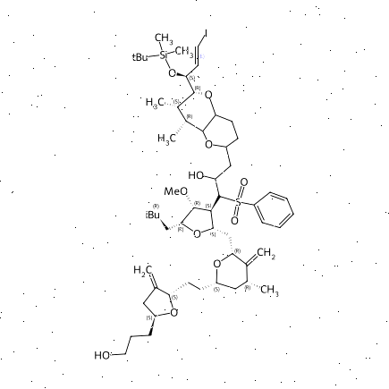 C=C1C[C@H](CCCO)O[C@H]1CC[C@H]1C[C@@H](C)C(=C)[C@@H](C[C@@H]2O[C@H](C[C@H](C)CC)[C@H](OC)[C@H]2C(C(O)CC2CCC3O[C@@H]([C@H](/C=C/I)O[Si](C)(C)C(C)(C)C)[C@@H](C)[C@@H](C)C3O2)S(=O)(=O)c2ccccc2)O1